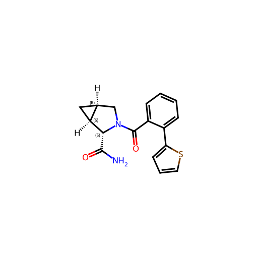 NC(=O)[C@@H]1[C@H]2C[C@H]2CN1C(=O)c1ccccc1-c1cccs1